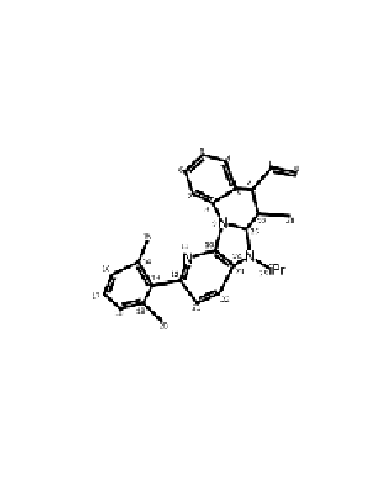 C=CC1c2ccccc2N2c3nc(-c4c(C)cccc4C)ccc3N(C(C)C)C2C1C